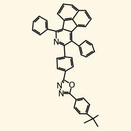 CC(C)(C)c1ccc(-c2nnc(-c3ccc(-c4nc(-c5ccccc5)c5c(c4-c4ccccc4)-c4cccc6cccc-5c46)cc3)o2)cc1